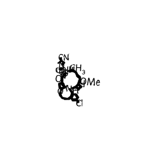 CO[C@H]1/C=C/C[C@H](C)CS(=O)(NC(=O)N2CC(C#N)C2)=NC(=O)c2ccc3c(c2)N(Cc2ccc(Cl)cc2CCCCO3)C[C@@H]2CC[C@H]21